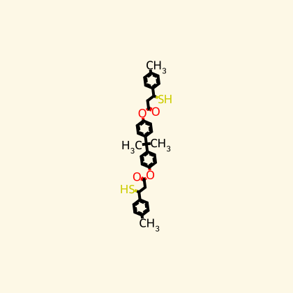 Cc1ccc(C(S)CC(=O)Oc2ccc(C(C)(C)c3ccc(OC(=O)CC(S)c4ccc(C)cc4)cc3)cc2)cc1